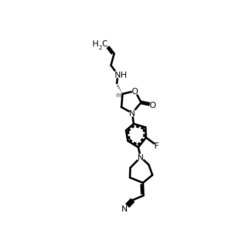 C=CCNC[C@H]1CN(c2ccc(N3CCC(=CC#N)CC3)c(F)c2)C(=O)O1